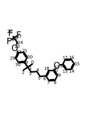 CC(C)(CCCc1cccc(Oc2ccccc2)c1)c1ccc(OCC(F)(F)F)cc1